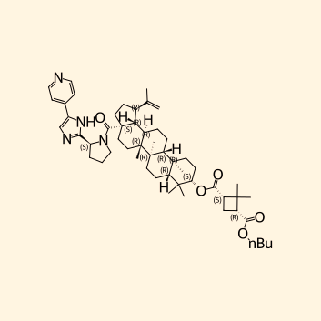 C=C(C)[C@@H]1CC[C@]2(C(=O)N3CCC[C@H]3c3ncc(-c4ccncc4)[nH]3)CC[C@]3(C)[C@H](CC[C@@H]4[C@@]5(C)CC[C@H](OC(=O)[C@H]6C[C@@H](C(=O)OCCCC)C6(C)C)C(C)(C)[C@@H]5CC[C@]43C)[C@@H]12